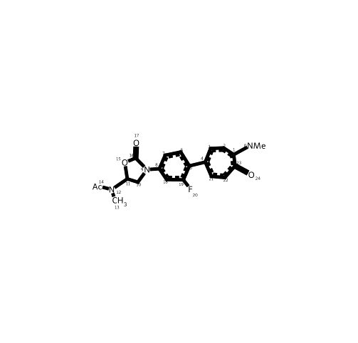 CNc1ccc(-c2ccc(N3CC(N(C)C(C)=O)OC3=O)cc2F)ccc1=O